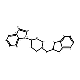 c1ccc2c(c1)CC(CN1CCC(n3cnc4ccccc43)CC1)C2